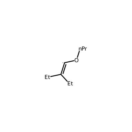 CCCO[C]=C(CC)CC